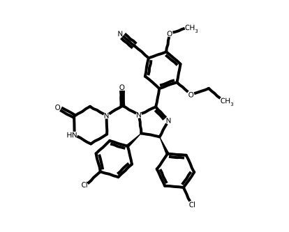 CCOc1cc(OC)c(C#N)cc1C1=N[C@@H](c2ccc(Cl)cc2)[C@@H](c2ccc(Cl)cc2)N1C(=O)N1CCNC(=O)C1